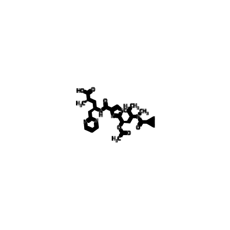 CC(=O)O[C@H](CC(C(C)C)N(C)C(=O)C1CC1)c1nc(C(=O)N[C@@H](Cc2ncccn2)C[C@H](C)C(=O)O)cs1